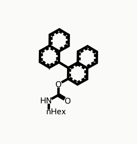 CCCCCCNC(=O)Oc1ccc2ccccc2c1-c1[c]ccc2ccccc12